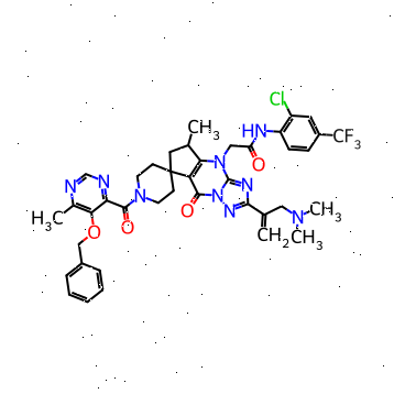 C=C(CN(C)C)c1nc2n(CC(=O)Nc3ccc(C(F)(F)F)cc3Cl)c3c(c(=O)n2n1)C1(CCN(C(=O)c2ncnc(C)c2OCc2ccccc2)CC1)CC3C